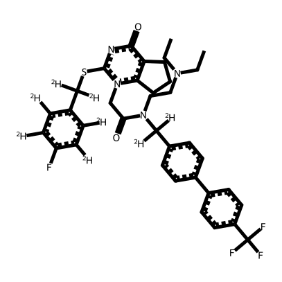 [2H]c1c([2H])c(C([2H])([2H])Sc2nc(=O)c3c(n2CC(=O)N(CCN(CC)CC)C([2H])([2H])c2ccc(-c4ccc(C(F)(F)F)cc4)cc2)CCC3)c([2H])c([2H])c1F